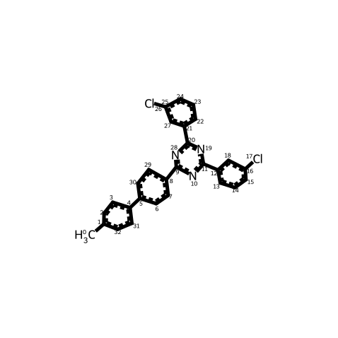 Cc1ccc(-c2ccc(-c3nc(-c4cccc(Cl)c4)nc(-c4cccc(Cl)c4)n3)cc2)cc1